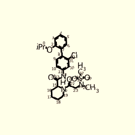 CC(C)Oc1ccccc1-c1ccc(NC(=O)C2CCCCN2C(=O)CN(C)S(C)(=O)=O)cc1Cl